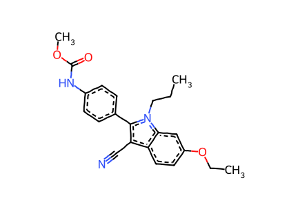 CCCn1c(-c2ccc(NC(=O)OC)cc2)c(C#N)c2ccc(OCC)cc21